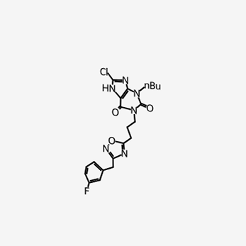 CCCCn1c(=O)n(CCCc2nc(Cc3cccc(F)c3)no2)c(=O)c2[nH]c(Cl)nc21